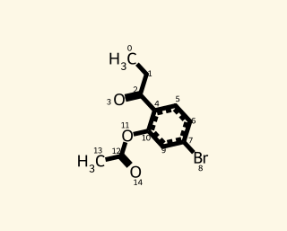 CCC(=O)c1ccc(Br)cc1OC(C)=O